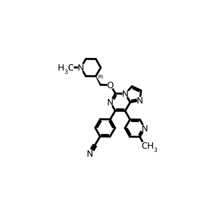 Cc1ccc(-c2c(-c3ccc(C#N)cc3)nc(OC[C@@H]3CCCN(C)C3)n3ccnc23)cn1